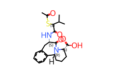 CC(=O)S[C@H](C(=O)N[C@H]1Cc2ccccc2[C@H]2CCC[C@@H](C(=O)O)N2C1=O)C(C)C